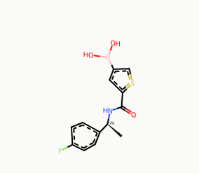 C[C@H](NC(=O)c1cc(B(O)O)cs1)c1ccc(F)cc1